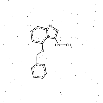 CNc1c[nH]c2cccc(OCc3ccccc3)c12